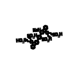 O=S(=O)(O)CCCCC1(CCCCS(=O)(=O)O)c2ccccc2-c2ccc(-c3ccc(-c4ccc5c(c4)C(CCCCS(=O)(=O)O)(CCCCS(=O)(=O)O)c4ccccc4-5)cc3)cc21.[NaH]